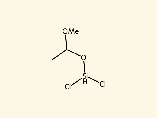 COC(C)O[SiH](Cl)Cl